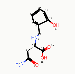 NC(=O)C[C@H](NCc1ccccc1O)C(=O)O